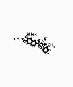 CCCCCCOc1cc2ccc(S(=O)(=O)C(=[N+]=[N-])S(=O)(=O)c3ccccc3C)cc2cc1OCCCCCC